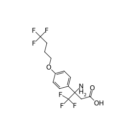 NC(CC(=O)O)(c1ccc(OCCCC(F)(F)F)cc1)C(F)(F)F